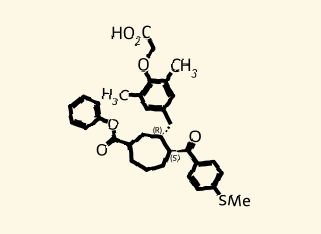 CSc1ccc(C(=O)[C@H]2CCCC(C(=O)Oc3ccccc3)C[C@@H]2Cc2cc(C)c(OCC(=O)O)c(C)c2)cc1